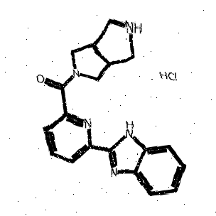 Cl.O=C(c1cccc(-c2nc3ccccc3[nH]2)n1)N1CC2CNCC2C1